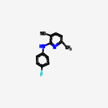 N#Cc1ccc(C(F)(F)F)nc1Nc1ccc(F)cc1